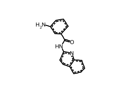 Nc1cccc(C(=O)Nc2ccc3ccccc3n2)c1